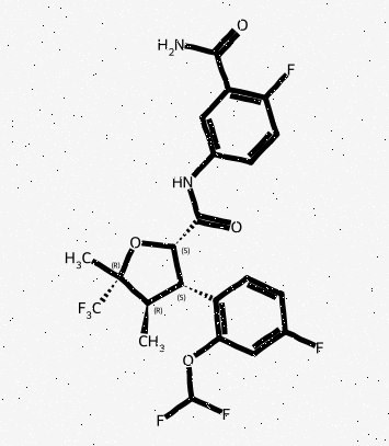 C[C@@H]1[C@@H](c2ccc(F)cc2OC(F)F)[C@@H](C(=O)Nc2ccc(F)c(C(N)=O)c2)O[C@@]1(C)C(F)(F)F